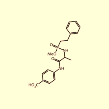 COP(=O)(CCc1ccccc1)NC(C)C(=O)Nc1ccc(C(=O)O)cc1